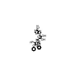 CCCC(NP(=O)(Oc1ccccc1)OC(C)[C@H]1O[C@@H](n2cnc3c(N)ncnc32)[C@H](O)[C@@H]1O)C(=O)OC1CCCCC1